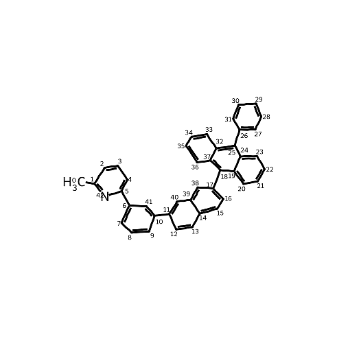 Cc1cccc(-c2cccc(-c3ccc4ccc(-c5c6ccccc6c(-c6ccccc6)c6ccccc56)cc4c3)c2)n1